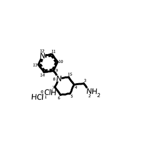 Cl.Cl.NCC1CCCN(c2ccncc2)C1